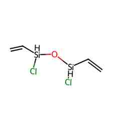 C=C[SiH](Cl)O[SiH](Cl)C=C